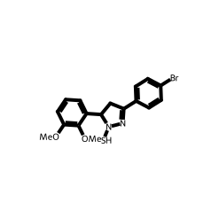 COc1cccc(C2CC(c3ccc(Br)cc3)=NN2S)c1OC